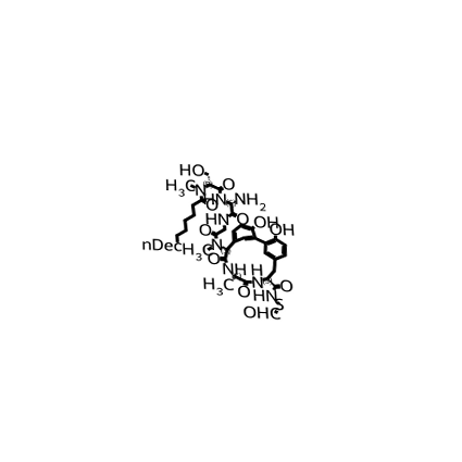 CCCCCCCCCCCCCCCC(=O)N(C)[C@H](CO)C(=O)N[C@H](N)C(=O)NCC(=O)N(C)[C@@H]1C(=O)N[C@@H](C)C(=O)N[C@H](C(=O)NSC=O)Cc2ccc(O)c(c2)-c2cc1ccc2O